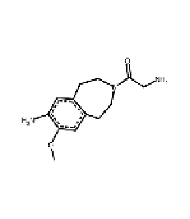 COc1cc2c(cc1N)CCN(C(=O)CN)CC2